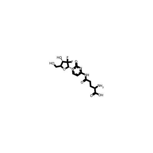 NC(CCC(=O)Nc1ccn([C@@H]2OC(CO)[C@H](O)C2(F)F)c(=O)n1)C(=O)O